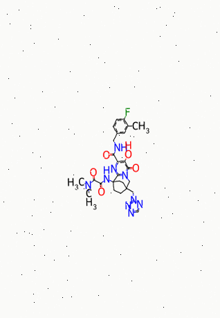 Cc1cc(CNC(=O)c2nc3n(c(=O)c2O)CC2(Cn4ncnn4)CCC3(NC(=O)C(=O)N(C)C)CC2)ccc1F